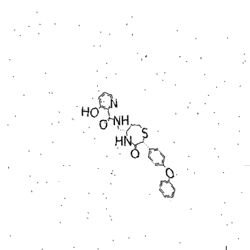 O=C(NC[C@@H]1CCS[C@H](c2ccc(Oc3ccccc3)cc2)C(=O)N1)c1ncccc1O